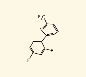 FC1=CCC(c2cccc(C(F)(F)F)n2)C(F)=C1